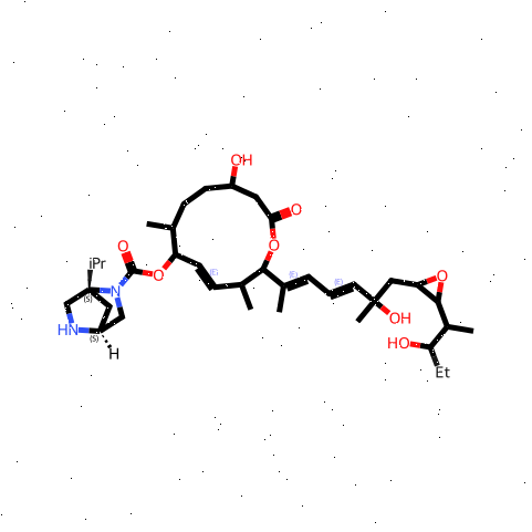 CCC(O)C(C)C1OC1CC(C)(O)/C=C/C=C(\C)C1OC(=O)CC(O)CCC(C)C(OC(=O)N2C[C@@H]3C[C@]2(C(C)C)CN3)/C=C/C1C